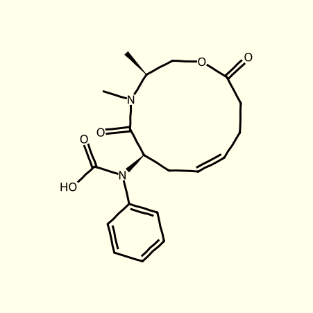 C[C@H]1COC(=O)CCC=CC[C@@H](N(C(=O)O)c2ccccc2)C(=O)N1C